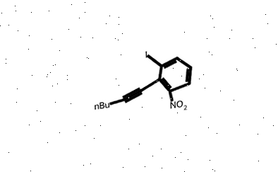 CCCCC#Cc1c(I)cccc1[N+](=O)[O-]